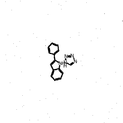 c1ccc(-c2cc3ccccc3[nH]2)cc1.c1nnn[nH]1